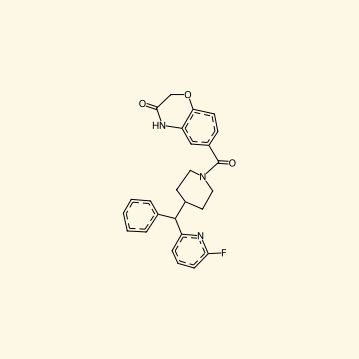 O=C1COc2ccc(C(=O)N3CCC(C(c4ccccc4)c4cccc(F)n4)CC3)cc2N1